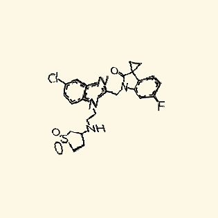 O=C1N(Cc2nc3cc(Cl)ccc3n2CCNC2CCS(=O)(=O)C2)c2cc(F)ccc2C12CC2